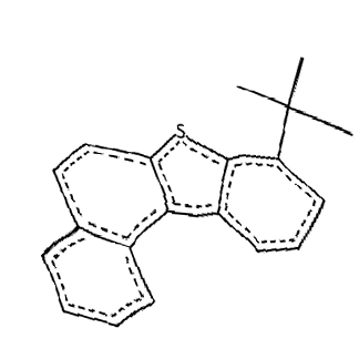 CC(C)(C)c1cccc2c1sc1ccc3ccccc3c12